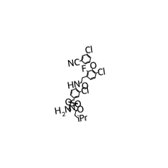 CC(C)CC(=O)N(N)S(=O)(=O)c1ccc(NC(=O)Cc2ccc(Cl)c(Oc3cc(Cl)cc(C#N)c3)c2F)c(Cl)c1